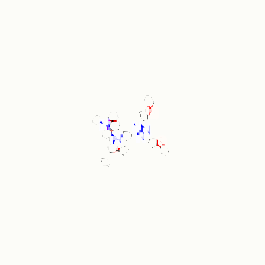 c1ccc(-c2ccc3c(c2)c2ccc(-n4c5ccccc5c5ccccc54)cc2n3-c2c(-c3ccccc3)cc(-c3nc(-c4ccc5c(c4)oc4ccccc45)nc(-c4ccc5c(c4)oc4ccccc45)n3)cc2-c2ccccc2)cc1